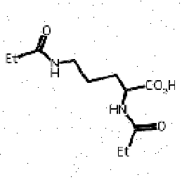 CCC(=O)NCCCC(NC(=O)CC)C(=O)O